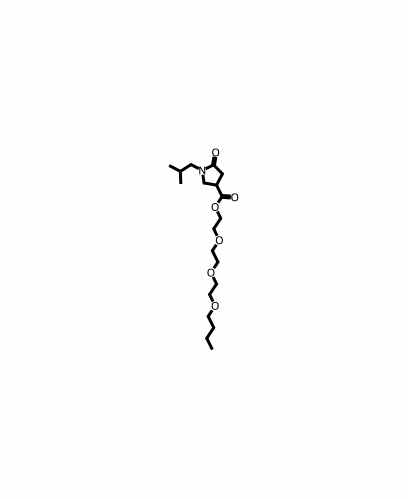 CCCCOCCOCCOCCOC(=O)C1CC(=O)N(CC(C)C)C1